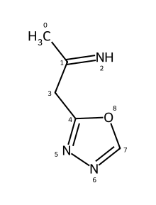 CC(=N)Cc1nnco1